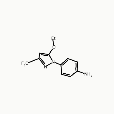 CCOc1cc(C(F)(F)F)nn1-c1ccc(N)cc1